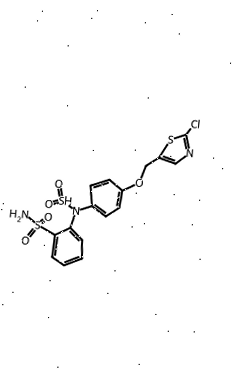 NS(=O)(=O)c1ccccc1N(c1ccc(OCc2cnc(Cl)s2)cc1)[SH](=O)=O